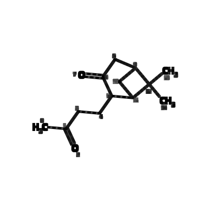 CC(=O)CCC1C(=O)CC2CC1C2(C)C